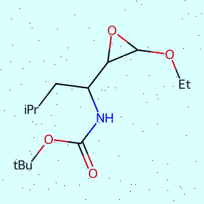 CCOC1OC1C(CC(C)C)NC(=O)OC(C)(C)C